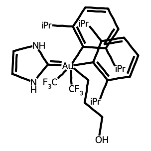 CC(C)c1cccc(C(C)C)[c]1[Au]([CH2]CCO)([c]1c(C(C)C)cccc1C(C)C)(=[c]1[nH]cc[nH]1)([C](F)(F)F)[C](F)(F)F